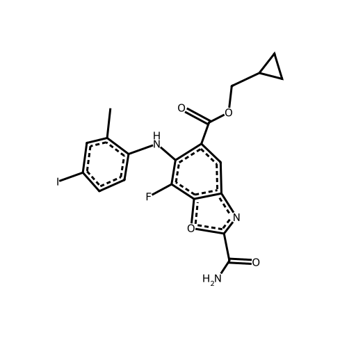 Cc1cc(I)ccc1Nc1c(C(=O)OCC2CC2)cc2nc(C(N)=O)oc2c1F